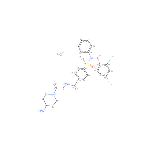 Cl.NC1CCN(C(=O)CNC(=O)c2ccc(S(=O)(=O)N(Oc3ccc(Cl)cc3Cl)c3ccccc3)cc2)CC1